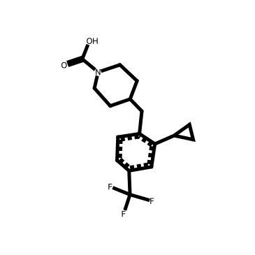 O=C(O)N1CCC(Cc2ccc(C(F)(F)F)cc2C2CC2)CC1